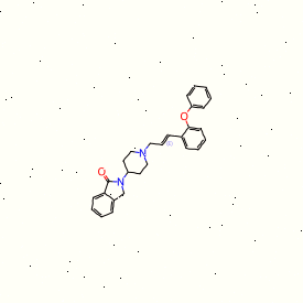 O=C1c2ccccc2CN1C1CCN(C/C=C/c2ccccc2Oc2ccccc2)CC1